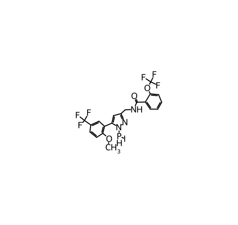 COc1ccc(C(F)(F)F)cc1-c1cc(CNC(=O)c2ccccc2OC(F)(F)F)nn1PI